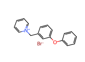 [Br-].c1ccc(Oc2cccc(C[n+]3ccccc3)c2)cc1